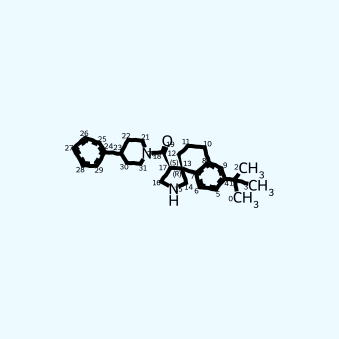 CC(C)(C)c1ccc2c(c1)CCC[C@]21CNC[C@H]1C(=O)N1CCC(c2ccccc2)CC1